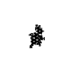 COC(=O)C1=C(C)N(c2cccc(C(F)(F)F)c2)c2n[nH]c(=O)n2[C@@H]1c1ccc(C#N)cc1C[N+](C)(C)C